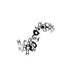 CCC(C)Nc1cnc2n(c1=O)[C@H](C(=O)NCc1ccc(N=CNC(=O)OC(C)(C)C)cc1)CC2